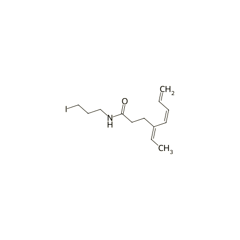 C=C/C=C\C(=C/C)CCC(=O)NCCCI